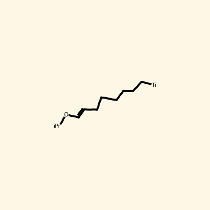 CC(C)OC=CCCCCC[CH2][Ti]